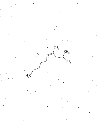 CCCCCC=C(C)CC(C)C